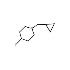 IC1CCN(CC2CC2)CC1